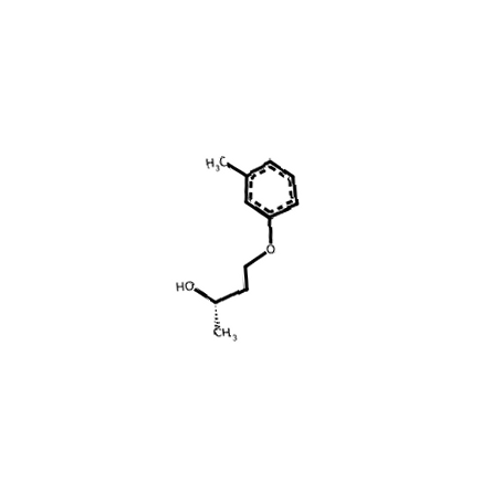 Cc1[c]ccc(OCC[C@H](C)O)c1